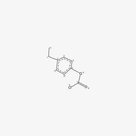 CCc1ccc(OC(=O)Cl)cc1